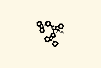 CC1(C)c2ccccc2-c2nc(-c3cccc(-n4c5ccccc5c5ccccc54)c3)nc(-c3ccc4c(c3)c3ccccc3n4-c3ccccc3)c21